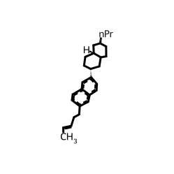 C/C=C/CCc1ccc2cc([C@@H]3CC[C@@H]4CC(CCC)CCC4C3)ccc2c1